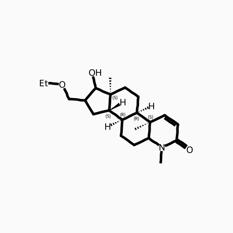 CCOCC1C[C@H]2[C@@H]3CCC4N(C)C(=O)C=C[C@]4(C)[C@@H]3CC[C@]2(C)C1O